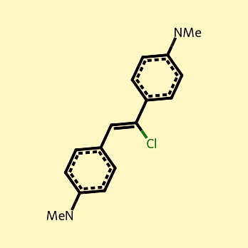 CNc1ccc(C=C(Cl)c2ccc(NC)cc2)cc1